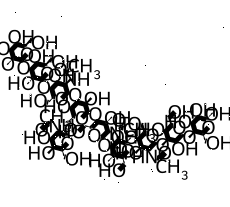 CC(=O)N[C@H]1[C@H](O[C@H]2[C@@H](O)[C@@H](CO)O[C@@H](O[C@H]3[C@H](O)[C@@H](O)[C@H](O)O[C@@H]3CO)[C@@H]2O)O[C@H](CO)[C@@H](O[C@@H]2O[C@H](CO)[C@H](O)[C@H](O[C@@H]3O[C@H](CO)[C@@H](O[C@@H]4O[C@H](CO[C@@H]5O[C@H](CO)[C@@H](O)[C@H](O)[C@H]5NC(C)=O)[C@H](O)[C@H](O[C@@H]5O[C@H](CO)[C@@H](O[C@@H]6O[C@H](CO)[C@H](O)[C@H](O[C@H]7O[C@H](CO)[C@H](O)[C@H](O)[C@H]7O)[C@H]6O)[C@H](O)[C@H]5NC(C)=O)[C@H]4O)[C@H](O)[C@H]3NC(C)=O)[C@H]2O)[C@@H]1O